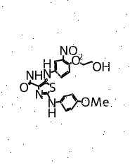 COc1ccc(Nc2nc(C(N)=O)c(Nc3ccc(OCCO)c([N+](=O)[O-])c3)s2)cc1